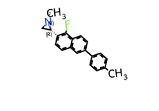 Cc1ccc(-c2ccc3c(F)c([C@@H]4C[N@]4C)ccc3c2)cc1